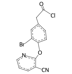 N#Cc1cccnc1Oc1ccc(CC(=O)Cl)cc1Br